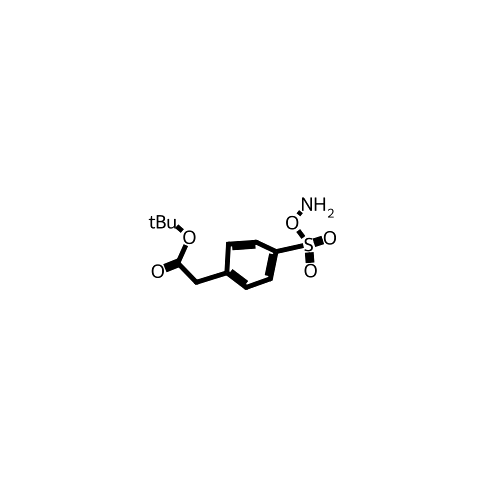 CC(C)(C)OC(=O)Cc1ccc(S(=O)(=O)ON)cc1